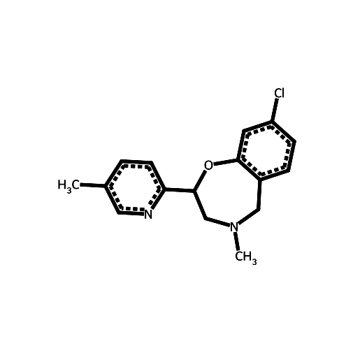 Cc1ccc(C2CN(C)Cc3ccc(Cl)cc3O2)nc1